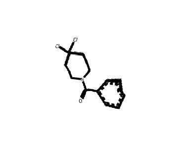 O=C(c1ccccc1)N1CCC(Cl)(Cl)CC1